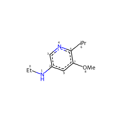 CCNc1cnc(C(C)C)c(OC)c1